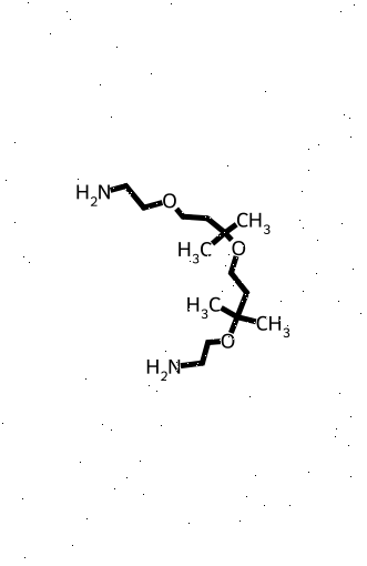 CC(C)(CCOCCN)OCCC(C)(C)OCCN